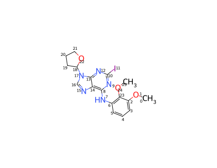 COc1cccc(Nc2nc(I)nc3c2ncn3C2CCCO2)c1OC